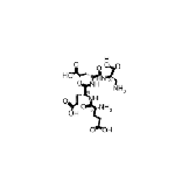 NC[C@@H](NC(=O)[C@@H](CCC(=O)O)NC(=O)[C@@H](CCC(=O)O)NC(=O)[C@H](N)CCC(=O)O)C(=O)O